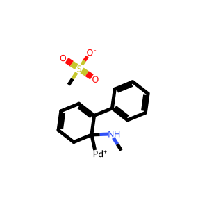 CN[C]1([Pd+])CC=CC=C1c1ccccc1.CS(=O)(=O)[O-]